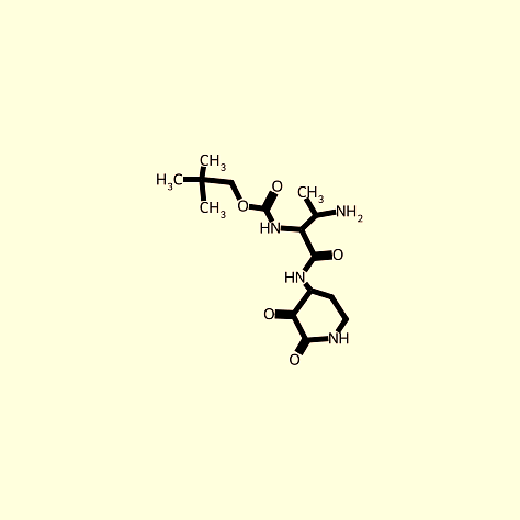 CC(N)C(NC(=O)OCC(C)(C)C)C(=O)NC1CCNC(=O)C1=O